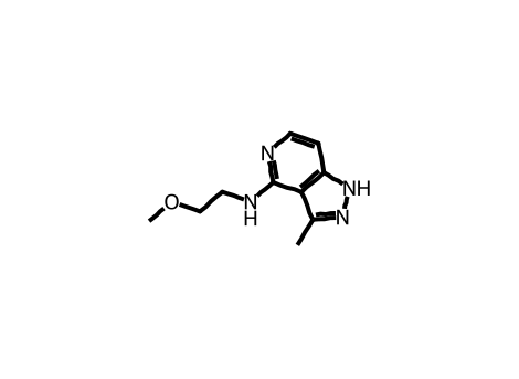 COCCNc1nccc2[nH]nc(C)c12